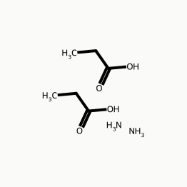 CCC(=O)O.CCC(=O)O.N.N